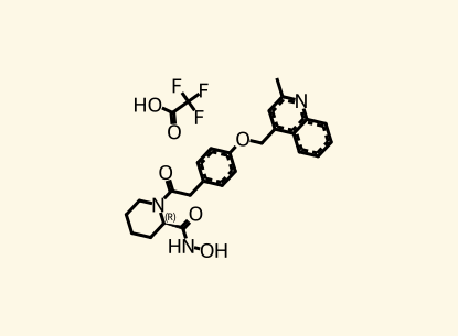 Cc1cc(COc2ccc(CC(=O)N3CCCC[C@@H]3C(=O)NO)cc2)c2ccccc2n1.O=C(O)C(F)(F)F